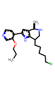 C=C1NCC(CCCCCBr)c2[nH]c(-c3ccncc3OCCC)cc21